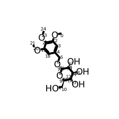 COc1cc(CO[C@@H]2O[C@H](CO)[C@@H](O)[C@H](O)[C@H]2O)cc(OC)c1OC